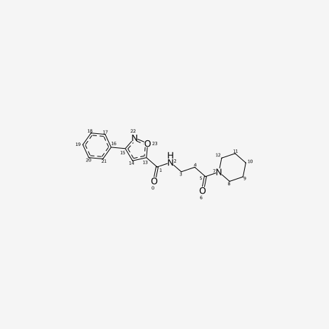 O=C(NCCC(=O)N1CCCCC1)c1cc(-c2ccccc2)no1